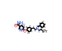 CC(C)CCN(CCc1ccc(Oc2ccc(C(N)=O)cn2)cc1)Cc1ccccc1